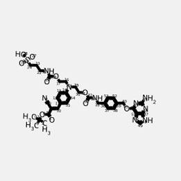 CC(C)(C)OC(=O)/C(C#N)=C/c1ccc(N(CCOC(=O)NCCCS(=O)(=O)O)CCOC(=O)NCc2ccc(COc3nc(N)nc4[nH]cnc34)cc2)cc1